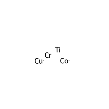 [Co].[Cr].[Cu].[Ti]